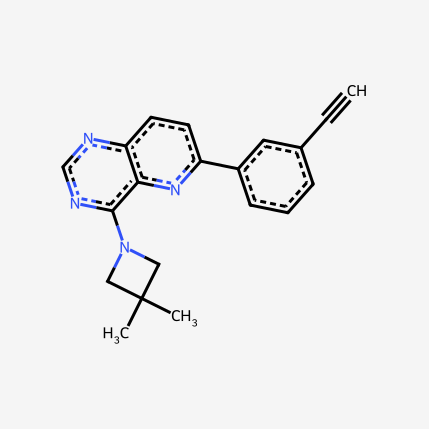 C#Cc1cccc(-c2ccc3ncnc(N4CC(C)(C)C4)c3n2)c1